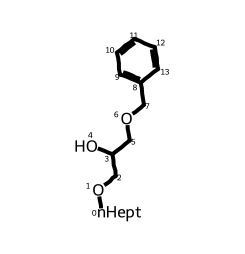 CCCCCCCOCC(O)COCc1ccccc1